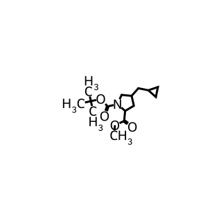 COC(=O)C1CC(CC2CC2)CN1C(=O)OC(C)(C)C